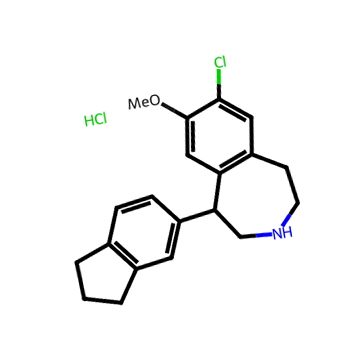 COc1cc2c(cc1Cl)CCNCC2c1ccc2c(c1)CCC2.Cl